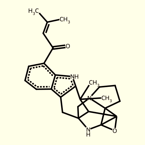 CC(C)=CC(=O)c1cccc2c3c([nH]c12)C(C)(C)C1C2(C3)CN3CCCC34C3(N2)OC134